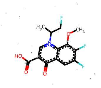 COc1c(F)c(F)cc2c(=O)c(C(=O)O)cn(C(C)CF)c12